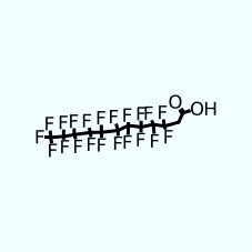 O=C(O)CC(F)(F)C(F)(F)C(F)(F)C(F)(F)C(F)(F)C(F)(F)C(F)(F)C(F)(F)C(F)(F)C(F)(F)F